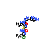 CC(NC(=O)c1cc(-c2cnc3[nH]ccc3c2)ncn1)c1ncc(C(=O)Nc2cc(C(F)(F)F)c(Cl)cn2)s1